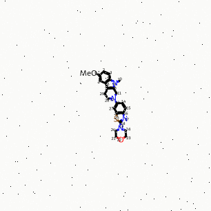 COc1ccc2c(c1)c1c(n2C)CN(c2ccc3nc(N4CCOCC4)sc3c2)CC1